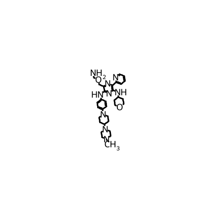 CN1CCN(C2CCN(c3ccc(Nc4nc(NC5CCOCC5)c(-c5ccccn5)nc4COCN)cc3)CC2)CC1